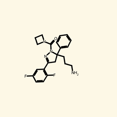 NCCCC1(c2ccccc2)CC(c2cc(F)ccc2F)=NN1C(=O)N1CCC1